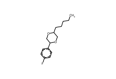 CCCCCC1COC(c2ccc(F)cc2)CO1